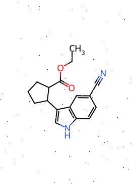 CCOC(=O)C1CCCC1c1c[nH]c2ccc(C#N)cc12